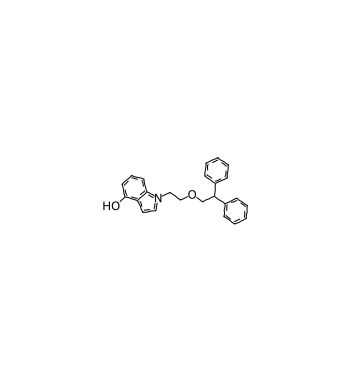 Oc1cccc2c1ccn2CCOCC(c1ccccc1)c1ccccc1